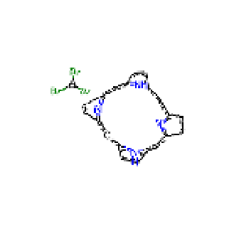 BrB(Br)Br.C1=Cc2cc3ccc(cc4nc(cc5ccc(cc1n2)[nH]5)C=C4)[nH]3